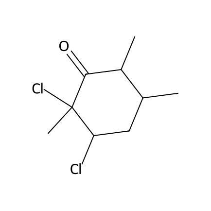 CC1CC(Cl)C(C)(Cl)C(=O)C1C